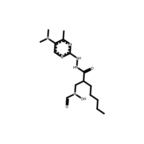 CCCCCC(CN(O)C=O)C(=O)NNc1ncc(N(C)C)c(C)n1